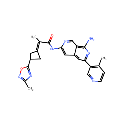 CC(C(=O)Nc1cc2cc(-c3cnccc3C)nc(N)c2cn1)=C1CC(c2nc(C)no2)C1